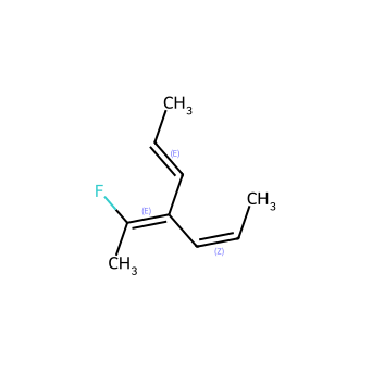 C\C=C/C(/C=C/C)=C(\C)F